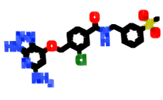 CS(=O)(=O)c1cccc(CNC(=O)c2ccc(COc3cc(N)nc4[nH]nnc34)c(Cl)c2)c1